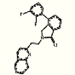 O=C1c2cccc(-c3cccc(F)c3F)c2CN1CCc1ccc2ccccc2n1